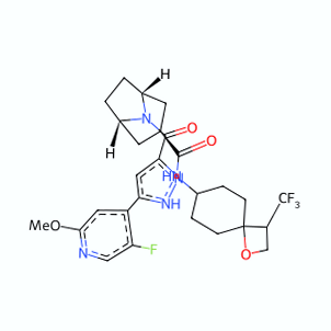 COc1cc(-c2cc(C(=O)N3[C@@H]4CC[C@H]3C[C@H](C(=O)NC3CCC5(CC3)OCC5C(F)(F)F)C4)n[nH]2)c(F)cn1